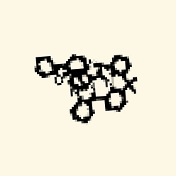 CC1(C)c2cccc(-c3nc(-c4cccc5c4oc4ccccc45)nc4ccccc34)c2-n2c3c1cccc3c1sc3ccccc3c12